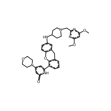 COc1cc(OC)nc(CN2CCC(Nc3ccc4c(c3)Cc3cccc(-c5cc(N6CCOCC6)cc(=O)[nH]5)c3O4)CC2)n1